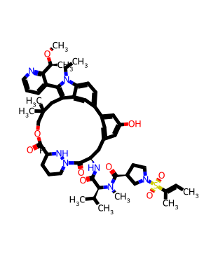 C/C=C(\C)S(=O)(=O)N1CC[C@H](C(=O)N(C)[C@H](C(=O)N[C@H]2Cc3cc(O)cc(c3)-c3ccc4c(c3)c(c(-c3cccnc3[C@H](C)OC)n4CC)CC(C)(C)COC(=O)[C@@H]3CCCN(N3)C2=O)C(C)C)C1